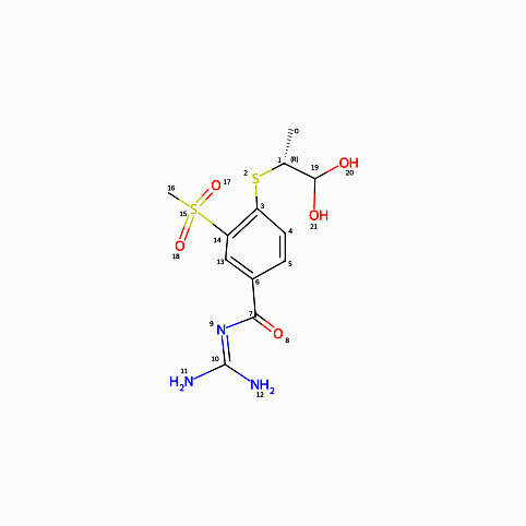 C[C@@H](Sc1ccc(C(=O)N=C(N)N)cc1S(C)(=O)=O)C(O)O